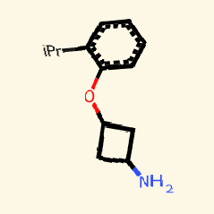 CC(C)c1ccccc1OC1CC(N)C1